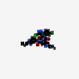 Cn1ccc(CC(C(=O)Nc2ccc3nn(C)cc3c2)N2CC(=O)N(c3cc(Cl)ccc3-n3cc(Cl)nn3)CC2=O)n1